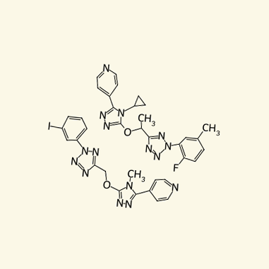 Cc1ccc(F)c(-n2nnc(C(C)Oc3nnc(-c4ccncc4)n3C3CC3)n2)c1.Cn1c(OCc2nnn(-c3cccc(I)c3)n2)nnc1-c1ccncc1